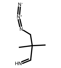 CC(C)(C=N)CN=[N+]=[N-]